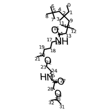 CCC(C)(CC(C)(C)C)CC(C)(C)CC(=O)NCCCC(C)OCCNC(=O)COC(C)C